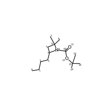 CCCCC1CC(C)(C)N1C(=O)OC(C)(C)C